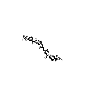 CC(F)(F)c1ccc(CNC(=O)c2cn(CCC(F)Cn3cc(NC(=O)Cc4cccc(OC(F)(F)F)c4)nn3)nn2)nc1